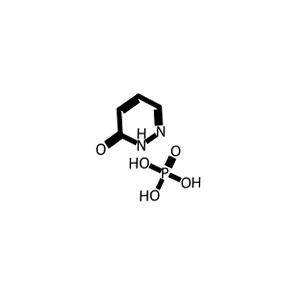 O=P(O)(O)O.O=c1cccn[nH]1